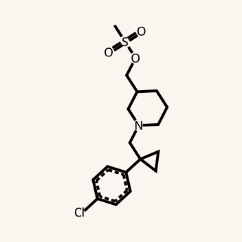 CS(=O)(=O)OCC1CCCN(CC2(c3ccc(Cl)cc3)CC2)C1